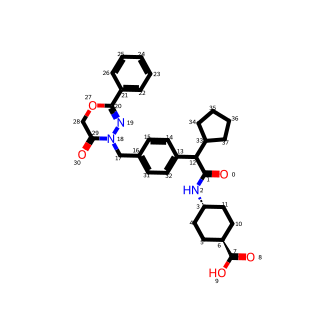 O=C(N[C@H]1CC[C@H](C(=O)O)CC1)C(c1ccc(CN2N=C(c3ccccc3)OCC2=O)cc1)C1CCCC1